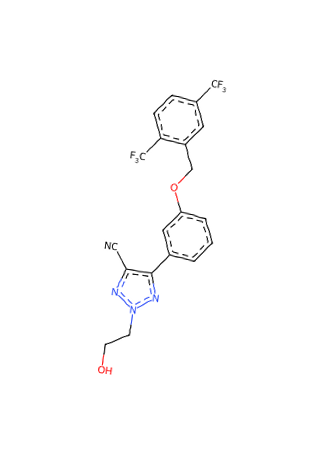 N#Cc1nn(CCO)nc1-c1cccc(OCc2cc(C(F)(F)F)ccc2C(F)(F)F)c1